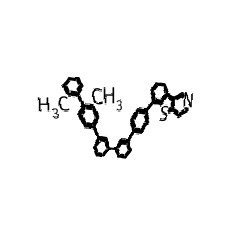 Cc1ccccc1-c1ccc(-c2cccc(-c3cccc(-c4ccc(-c5cccc6c5sc5ccncc56)cc4)c3)c2)cc1C